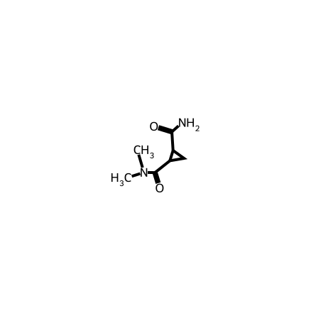 CN(C)C(=O)C1CC1C(N)=O